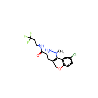 CN(N)C1=C(CCC(=O)NCCC(F)(F)F)COc2ccc(Cl)cc21